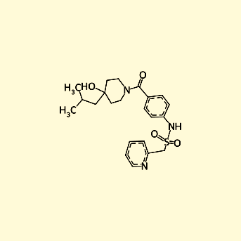 CC(C)CC1(O)CCN(C(=O)c2ccc(NS(=O)(=O)Cc3ccccn3)cc2)CC1